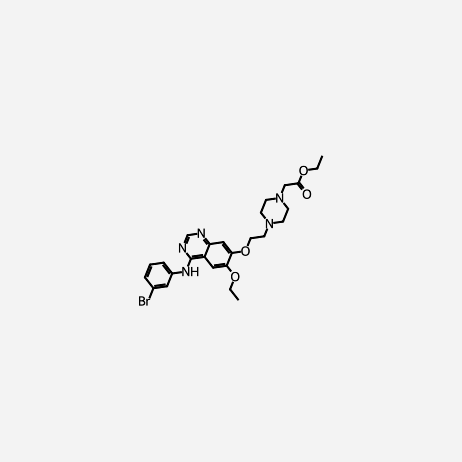 CCOC(=O)CN1CCN(CCOc2cc3ncnc(Nc4cccc(Br)c4)c3cc2OCC)CC1